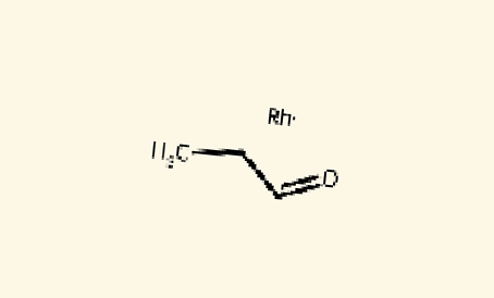 CCC=O.[Rh]